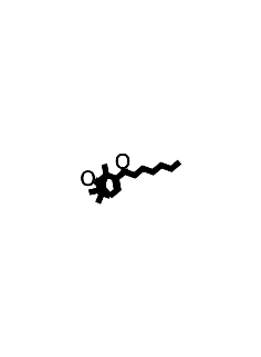 CCCCCCC(=O)C1=CC2C=CC1(C)C(=O)C2(C)C